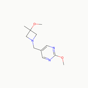 COc1ncc(CN2CC(C)(OC)C2)cn1